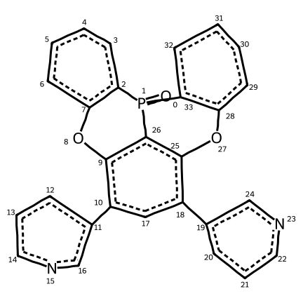 O=P12c3ccccc3Oc3c(-c4cccnc4)cc(-c4cccnc4)c(c31)Oc1ccccc12